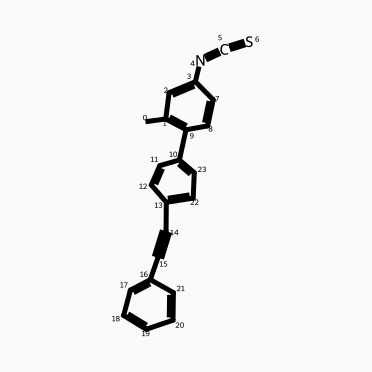 Cc1cc(N=C=S)ccc1-c1ccc(C#Cc2ccccc2)cc1